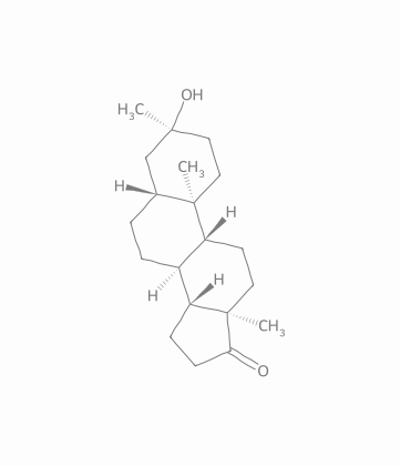 C[C@]1(O)CC[C@]2(C)[C@H](CC[C@H]3[C@H]2CC[C@@]2(C)C(=O)CC[C@H]32)C1